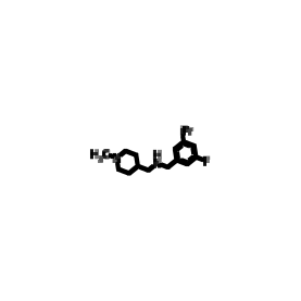 CC(C)c1cc(F)cc(CNCC2CCN(C)CC2)c1